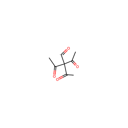 CC(=O)C([C]=O)(C(C)=O)C(C)=O